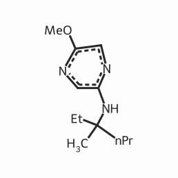 CCCC(C)(CC)Nc1cnc(OC)cn1